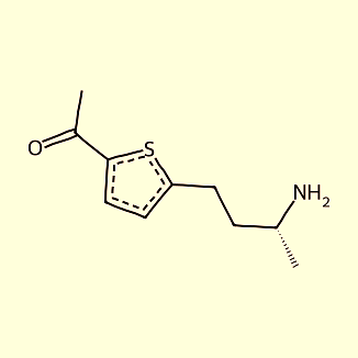 CC(=O)c1ccc(CC[C@@H](C)N)s1